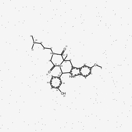 COc1ccc2[nH]c3c(c2c1)CC1(C)C(=O)N(CCCN(C)C)CC(=O)N1C3c1cccc(O)c1